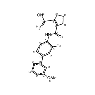 C=C(N=O)C1=C(C(=O)Nc2ccc(-c3cccc(OC)c3)cc2F)CCC1